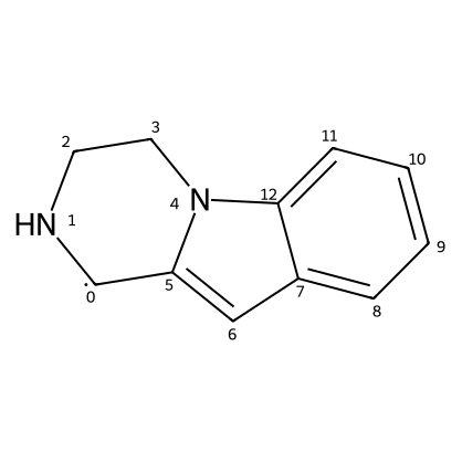 [CH]1NCCn2c1cc1ccccc12